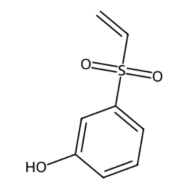 C=CS(=O)(=O)c1cccc(O)c1